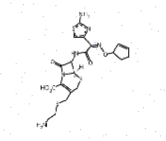 NCCSCC1=C(C(=O)O)N2C(=O)C(NC(=O)/C(=N\OC3C=CCC3)c3csc(N)n3)[C@H]2SC1